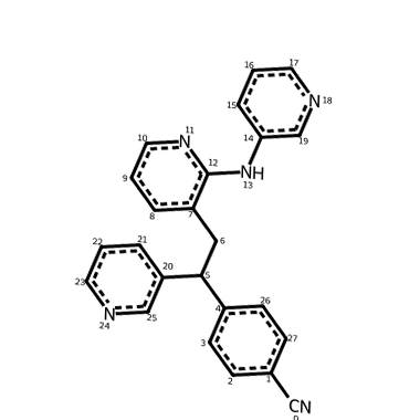 N#Cc1ccc(C(Cc2cccnc2Nc2cccnc2)c2cccnc2)cc1